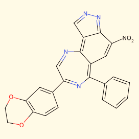 O=[N+]([O-])c1cc2c(-c3ccccc3)nc(-c3ccc4c(c3)OCCO4)cnc2c2cnnc12